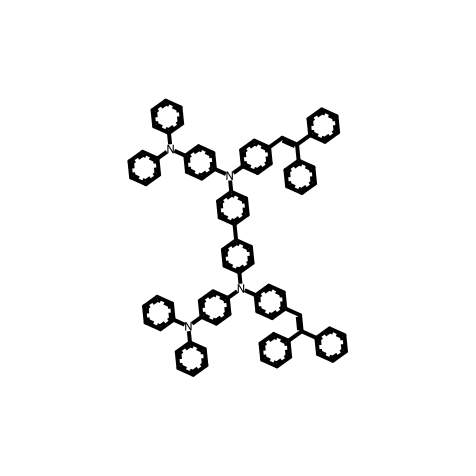 C(=C(c1ccccc1)c1ccccc1)c1ccc(N(c2ccc(-c3ccc(N(c4ccc(C=C(c5ccccc5)c5ccccc5)cc4)c4ccc(N(c5ccccc5)c5ccccc5)cc4)cc3)cc2)c2ccc(N(c3ccccc3)c3ccccc3)cc2)cc1